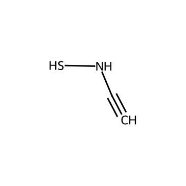 C#CNS